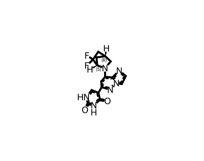 O=c1[nH]cc(-c2cc(N3C[C@@H]4C[C@H]3C(F)(F)C4)c3nccn3n2)c(=O)[nH]1